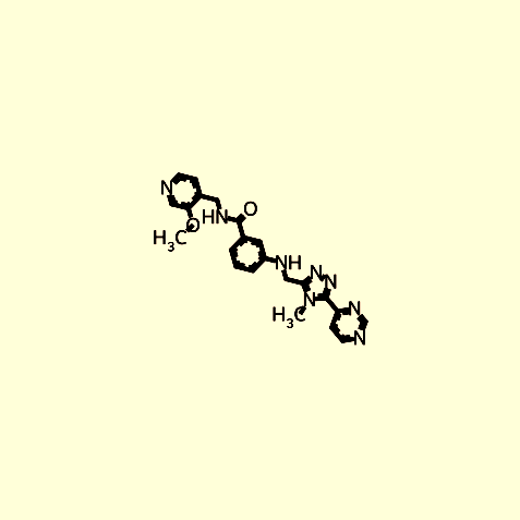 COc1cnccc1CNC(=O)c1cccc(NCc2nnc(-c3ccncn3)n2C)c1